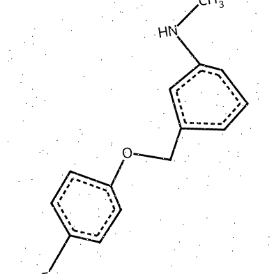 CNc1cccc(COc2ccc(F)cc2)c1